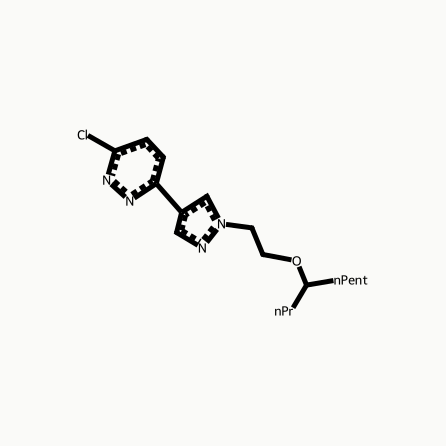 CCCCCC(CCC)OCCn1cc(-c2ccc(Cl)nn2)cn1